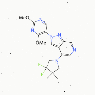 COc1ncc(-n2cc3c(N4CC(C)(C)C(F)(F)C4)cncc3n2)c(OC)n1